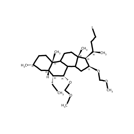 CC[C@H]1[C@@H](OCOC)C2C3C[C@H](OCOC)[C@H]([C@H](C)CCI)[C@@]3(C)CCC2[C@@]2(C)CC[C@@H](C)C[C@@H]12